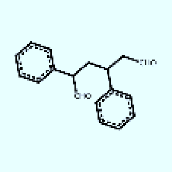 O=CCC(CC(C=O)c1ccccc1)c1ccccc1